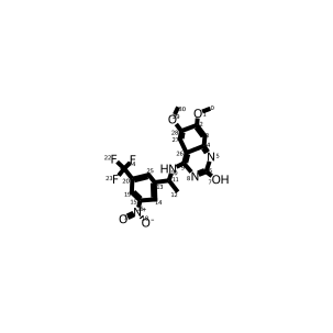 COc1cc2nc(O)nc(NC(C)c3cc([N+](=O)[O-])cc(C(F)(F)F)c3)c2cc1OC